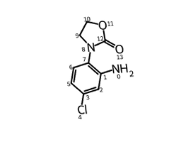 Nc1cc(Cl)ccc1N1CCOC1=O